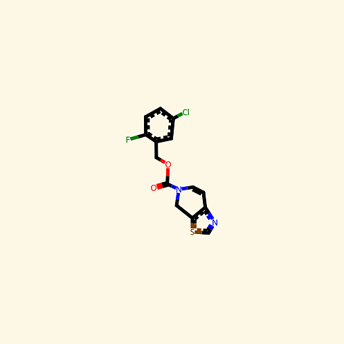 O=C(OCc1cc(Cl)ccc1F)N1C=Cc2ncsc2C1